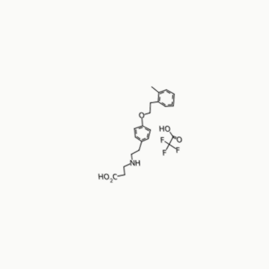 Cc1ccccc1CCOc1ccc(CCNCCC(=O)O)cc1.O=C(O)C(F)(F)F